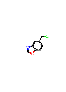 ClCc1ccc2ocnc2c1